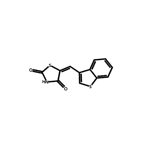 O=C1NC(=O)C(=Cc2csc3ccccc23)S1